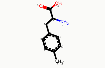 [CH2]c1ccc(CC(N)C(=O)O)cc1